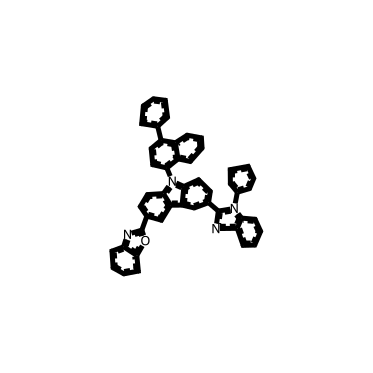 c1ccc(-c2ccc(-n3c4ccc(-c5nc6ccccc6o5)cc4c4cc(-c5nc6ccccc6n5-c5ccccc5)ccc43)c3ccccc23)cc1